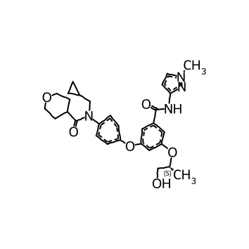 C[C@@H](CO)Oc1cc(Oc2ccc(N(CC3CC3)C(=O)C3CCOCC3)cc2)cc(C(=O)Nc2ccn(C)n2)c1